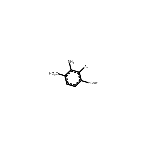 CCCCCc1ccc(C(=O)O)c(N)c1C(C)=O